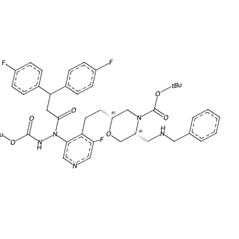 CC(C)(C)OC(=O)NN(C(=O)CC(c1ccc(F)cc1)c1ccc(F)cc1)c1cncc(F)c1CC[C@@H]1CN(C(=O)OC(C)(C)C)[C@H](CNCc2ccccc2)CO1